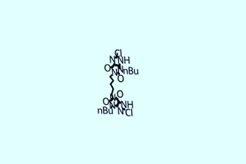 CCCCn1c(=O)n(CCCCCn2c(=O)c3nc(Cl)[nH]c3n(CCCC)c2=O)c(=O)c2[nH]c(Cl)nc21